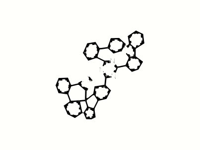 c1ccc(-c2ccccc2-c2nc(-c3ccc4c(c3)C3(c5ccccc5-c5ccccc5-c5ccccc53)c3ccccc3-4)nc(-c3cccc4c3oc3ccccc34)n2)cc1